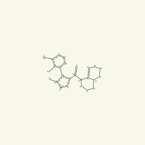 Cc1c(Cl)cccc1-c1c(C(=O)N2CCCC3CCCC=C32)cnn1C